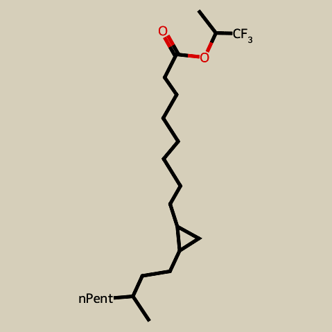 CCCCCC(C)CCC1CC1CCCCCCCC(=O)OC(C)C(F)(F)F